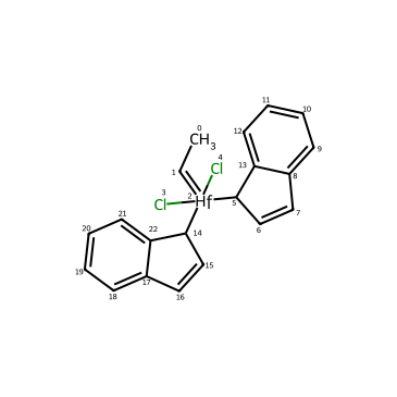 C[CH]=[Hf]([Cl])([Cl])([CH]1C=Cc2ccccc21)[CH]1C=Cc2ccccc21